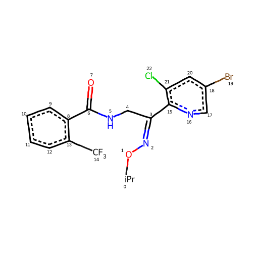 CC(C)ON=C(CNC(=O)c1ccccc1C(F)(F)F)c1ncc(Br)cc1Cl